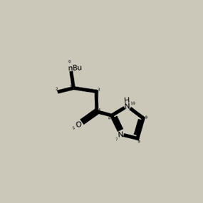 CCCCC(C)CC(=O)c1ncc[nH]1